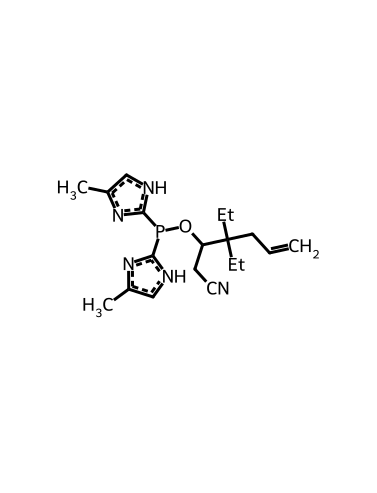 C=CCC(CC)(CC)C(CC#N)OP(c1nc(C)c[nH]1)c1nc(C)c[nH]1